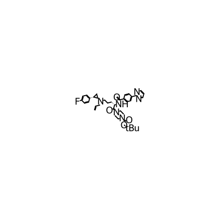 C=CCN(CCC[C@H](NC(=O)c1ccc(-c2ncccn2)cc1)C(=O)N1CCN(C(=O)OC(C)(C)C)CC1)C1C[C@H]1c1ccc(F)cc1